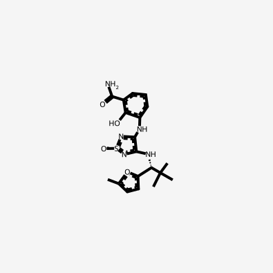 Cc1ccc([C@H](Nc2n[s+]([O-])nc2Nc2cccc(C(N)=O)c2O)C(C)(C)C)o1